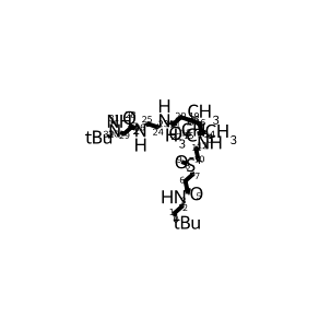 CC(C)(C)CCNC(=O)CC[S+]([O-])CCNC(C)(C)CC(C)(C)CC(=O)NCCNC(=O)CN(N)C(C)(C)C